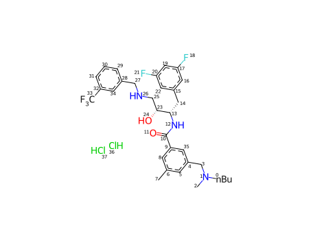 CCCCN(C)Cc1cc(C)cc(C(=O)N[C@@H](Cc2cc(F)cc(F)c2)[C@H](O)CNCc2cccc(C(F)(F)F)c2)c1.Cl.Cl